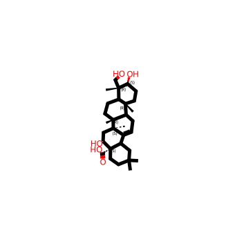 CC1(C)CC[C@@]2(C(=O)O)C(O)C[C@]3(C)C(=CCC4[C@@]5(C)CC[C@H](O)[C@@](C)(CO)C5CC[C@]43C)C2C1